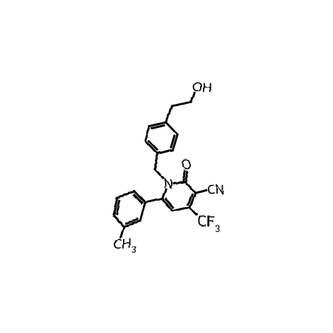 Cc1cccc(-c2cc(C(F)(F)F)c(C#N)c(=O)n2Cc2ccc(CCO)cc2)c1